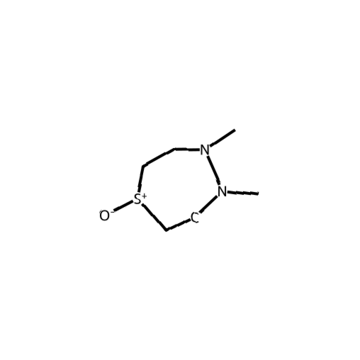 CN1CC[S+]([O-])CCN1C